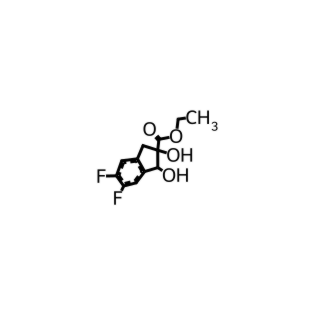 CCOC(=O)C1(O)Cc2cc(F)c(F)cc2C1O